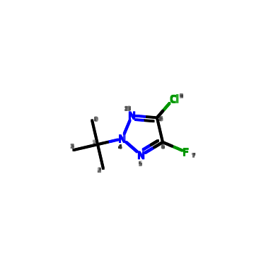 CC(C)(C)n1nc(F)c(Cl)n1